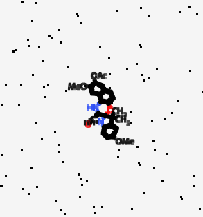 CCCN1c2ccc(OC)cc2C(C)(C)C12Oc1ccc3cc(OC(C)=O)c(OC)cc3c1NC2=C=O